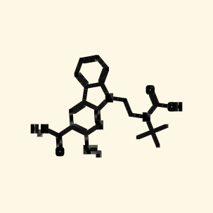 CC(C)(C)N(CCn1c2ccccc2c2cc(C(N)=O)c(N)nc21)C(=O)O